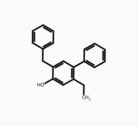 CCc1cc(O)c(Cc2ccccc2)cc1-c1ccccc1